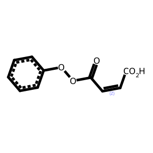 O=C(O)/C=C\C(=O)OOc1ccccc1